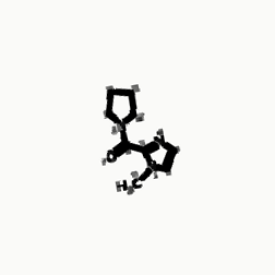 Cn1ccnc1C(=O)N1CCCC1